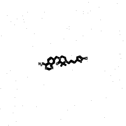 CC1(C)C(=O)N(Cc2ccc3c(N)ncnc3c2)CCN1C/C=C/c1ccc(Cl)s1